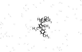 Cc1ccc(-n2c(C)cc(C(=O)CC(C)(C)C)c2C)cc1